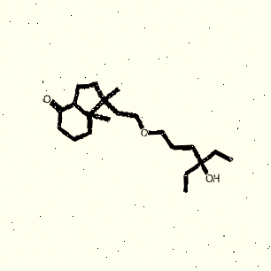 CCC(O)(CC)CCCOCCC1(C)CCC2C(=O)CCCC21C